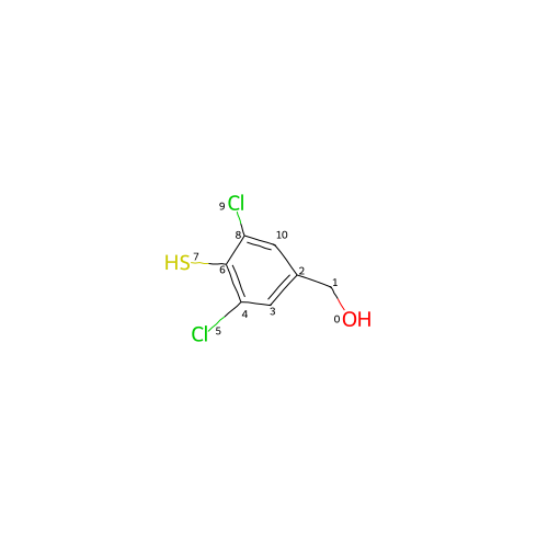 OCc1cc(Cl)c(S)c(Cl)c1